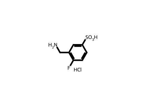 Cl.NCc1cc(S(=O)(=O)O)ccc1F